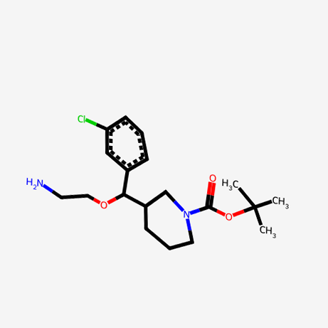 CC(C)(C)OC(=O)N1CCCC(C(OCCN)c2cccc(Cl)c2)C1